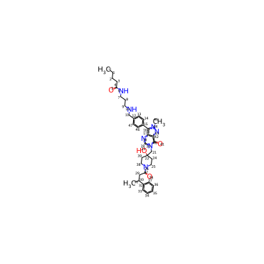 CCCCC(=O)NCCCNCc1ccc(-c2c3ncn(CC4(O)CCN(C(=O)CC(C)c5ccccc5)CC4)c(=O)c3nn2C)cc1